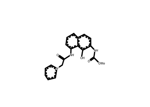 COC(=O)Nc1ccc2cccc(NC(=O)C[n+]3ccccc3)c2c1O